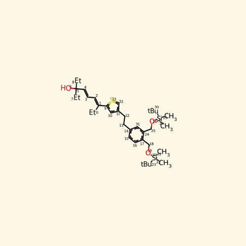 CC/C(=C\C=C\C(O)(CC)CC)c1cc(CCc2ccc(CO[Si](C)(C)C(C)(C)C)c(CO[Si](C)(C)C(C)(C)C)c2)cs1